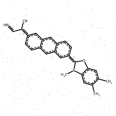 Cc1cc2c(cc1C)N(C)/C(=c1/ccc3cc4c/c(=C(\C#N)C=N)ccc4cc3c1)O2